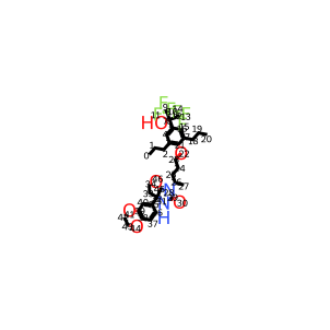 CCCc1cc(C(O)(C(F)(F)F)C(F)(F)F)cc(CCC)c1OCCCC(C)N1C(=O)NC(CC)(c2ccc3c(c2)OCCO3)C1=O